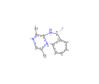 CCc1cnc(CC)c(N[C@H](C)c2ccccc2)n1